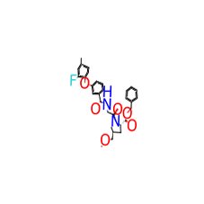 COC[C@@H]1C[C@@H](C(=O)OCc2ccccc2)N(C(=O)CNC(=O)c2cccc(Oc3ccc(C)cc3F)c2)C1